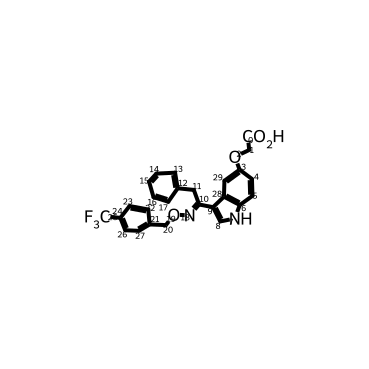 O=C(O)COc1ccc2[nH]cc(/C(Cc3ccccc3)=N/OCc3ccc(C(F)(F)F)cc3)c2c1